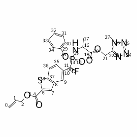 C=CCOC(=O)c1cc2cc([C@H](F)P(=O)(NC(C)C(=O)OCc3nnnn3C)Oc3ccccc3)ccc2s1